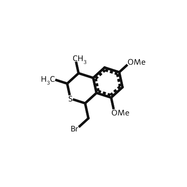 COc1cc(OC)c2c(c1)C(C)C(C)SC2CBr